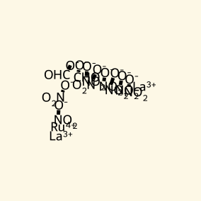 O=C[O-].O=C[O-].O=[N+]([O-])[O-].O=[N+]([O-])[O-].O=[N+]([O-])[O-].O=[N+]([O-])[O-].O=[N+]([O-])[O-].O=[N+]([O-])[O-].O=[N+]([O-])[O-].O=[N+]([O-])[O-].[La+3].[La+3].[Ru+4]